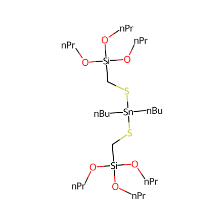 CCC[CH2][Sn]([CH2]CCC)([S]C[Si](OCCC)(OCCC)OCCC)[S]C[Si](OCCC)(OCCC)OCCC